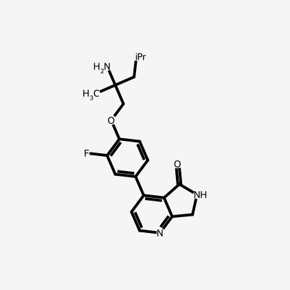 CC(C)CC(C)(N)COc1ccc(-c2ccnc3c2C(=O)NC3)cc1F